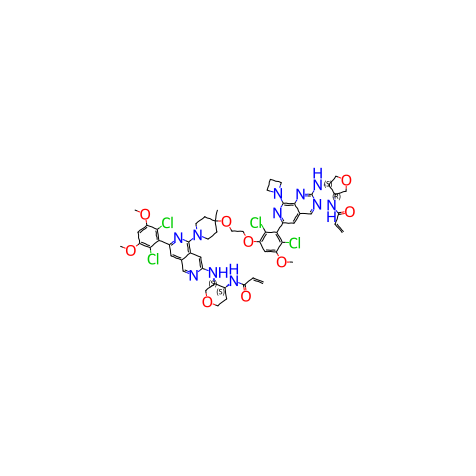 C=CC(=O)N[C@H]1CCOC[C@H]1Nc1cc2c(N3CCC(C)(OCCOc4cc(OC)c(Cl)c(-c5cc6cnc(N[C@@H]7COC[C@@H]7NC(=O)C=C)nc6c(N6CCC6)n5)c4Cl)CC3)nc(-c3c(Cl)c(OC)cc(OC)c3Cl)cc2cn1